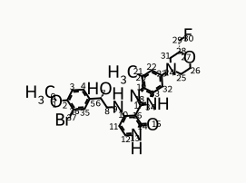 COc1ccc([C@H](O)CNc2cc[nH]c(=O)c2-c2nc3c(C)cc(N4CCO[C@@H](CF)C4)cc3[nH]2)cc1Br